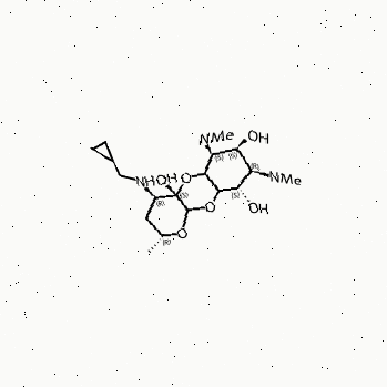 CN[C@@H]1[C@H](O)[C@H](NC)C2O[C@]3(O)C(OC2[C@H]1O)O[C@H](C)C[C@H]3NCC1CC1